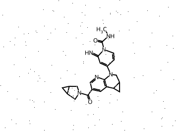 CNC(=O)n1ccc(N2CC3CC3c3cc(C(=O)N4CC5CC5C4)cnc32)cc1=N